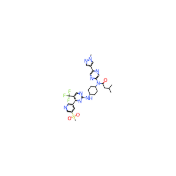 CC(C)CC(=O)N(c1cnc(-c2cnn(C)c2)cn1)C1CCC(Nc2ncc(C(F)(F)F)c(-c3cncc(S(C)(=O)=O)c3)n2)CC1